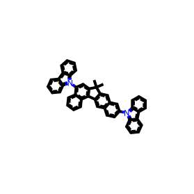 CC1(C)c2cc3cc(-n4c5ccccc5c5ccccc54)ccc3cc2-c2c1cc(-n1c3ccccc3c3ccccc31)c1ccccc21